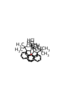 CC(C)(C)C1=Cc2ccc3ccccc3c2[CH]1[Ti]([CH3])([CH3])(=[SiH2])[CH]1C(C(C)(C)C)=Cc2ccc3ccccc3c21.Cl.Cl